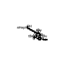 CC#CCOc1ccc(C[C@H](NC(=O)[C@@H](/C=C/CCCCCCC(O)CCCCCCC)[C@@](O)(CC(=O)OC(C)(C)C)C(=O)OC(C)(C)C)C(=O)OC(C)(C)C)cc1